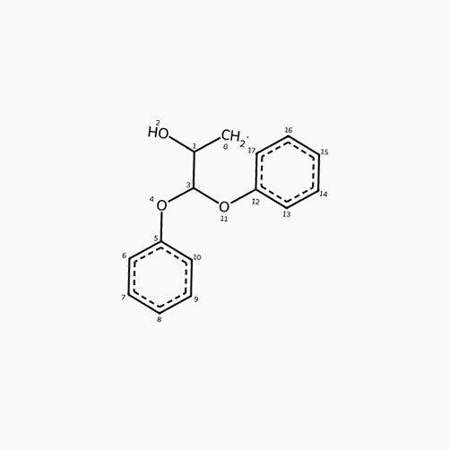 [CH2]C(O)C(Oc1ccccc1)Oc1ccccc1